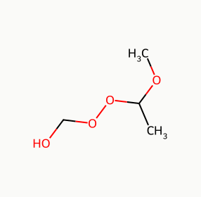 COC(C)OOCO